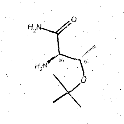 C[C@H](OC(C)(C)C)[C@@H](N)C(N)=O